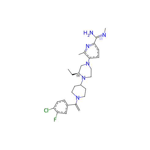 C=C(c1ccc(Cl)c(F)c1)N1CCC(N2CCN(c3ccc(/C(N)=N/C)nc3C)C[C@@H]2CC)CC1